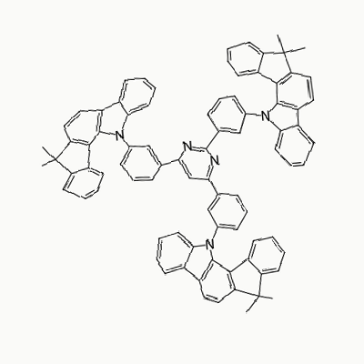 CC1(C)c2ccccc2-c2c1ccc1c3ccccc3n(-c3cccc(-c4cc(-c5cccc(-n6c7ccccc7c7ccc8c(c76)-c6ccccc6C8(C)C)c5)nc(-c5cccc(-n6c7ccccc7c7ccc8c(c76)-c6ccccc6C8(C)C)c5)n4)c3)c21